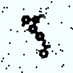 Cc1cccc(-c2sc(N)nc2-c2ccnc(-c3ccc(OCC(=O)N4CCOCC4)cc3)c2)n1